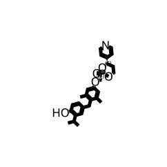 Cc1cc(OC[P@@]2(=O)OCC[C@@H](c3ccncc3)O2)cc(C)c1Cc1ccc(O)c(C(C)C)c1